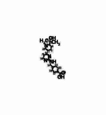 CC(C)(O)c1ccc(-c2ccnc(NCc3ccc(C(=O)O)cc3)n2)cn1